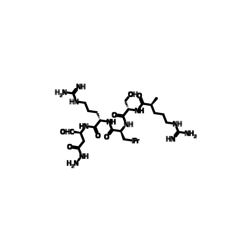 CC(C)C[C@H](NC(=O)[C@H](CO)NC(=O)[C@@H](C)CCCNC(=N)N)C(=O)N[C@@H](CCCNC(=N)N)C(=O)N[C@H](C=O)CC(=O)NN